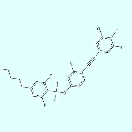 CCCCCc1cc(F)c(C(F)(F)Oc2ccc(C#Cc3cc(F)c(F)c(Cl)c3)c(F)c2)c(F)c1